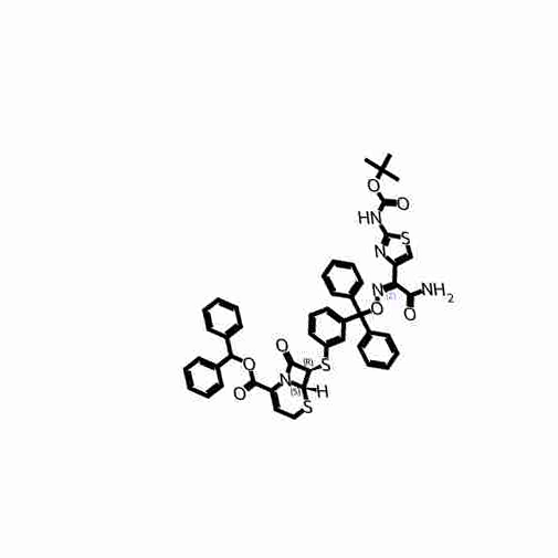 CC(C)(C)OC(=O)Nc1nc(/C(=N/OC(c2ccccc2)(c2ccccc2)c2cccc(S[C@@H]3C(=O)N4C(C(=O)OC(c5ccccc5)c5ccccc5)=CCS[C@@H]34)c2)C(N)=O)cs1